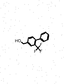 OCc1ccc(-c2ccccc2)c(C(F)(F)F)c1